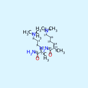 CC(=CCCCN(C)C)C(N)=O.CC(=CCCCN(C)C)C(N)=O